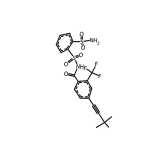 CC(C)(C)C#Cc1ccc(C(=O)NS(=O)(=O)c2ccccc2S(N)(=O)=O)c(C(F)(F)F)c1